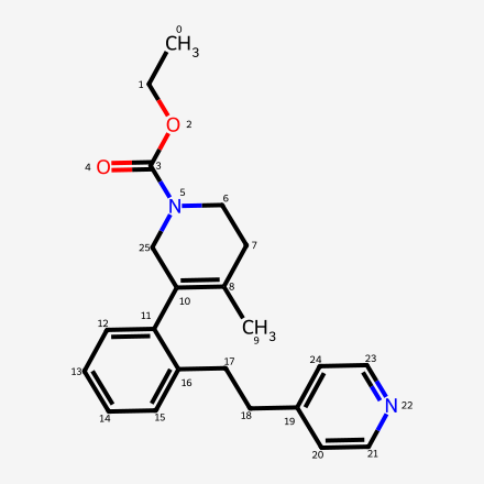 CCOC(=O)N1CCC(C)=C(c2ccccc2CCc2ccncc2)C1